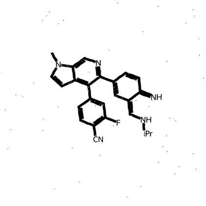 CC(C)N/C=C1/C=C(c2ncc3c(ccn3C)c2-c2ccc(C#N)c(F)c2)C=CC1=N